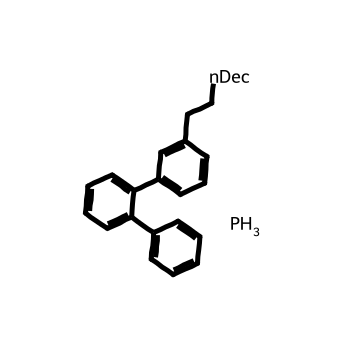 CCCCCCCCCCCCc1cccc(-c2ccccc2-c2ccccc2)c1.P